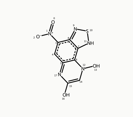 O=[N+]([O-])c1cc2c(c3c1=NSN3)N(O)C=C(O)N=2